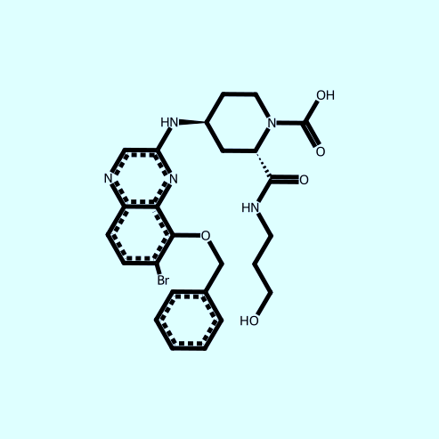 O=C(NCCCO)[C@@H]1C[C@@H](Nc2cnc3ccc(Br)c(OCc4ccccc4)c3n2)CCN1C(=O)O